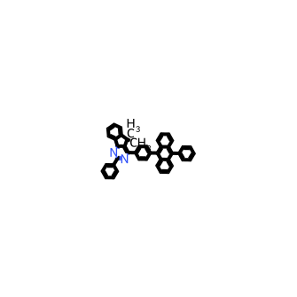 CC1(C)c2ccccc2-c2nc(-c3ccccc3)nc(-c3ccc(-c4c5ccccc5c(-c5ccccc5)c5ccccc45)cc3)c21